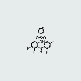 Cc1ccc(Nc2c(NS(=O)(=O)c3ccsc3)ccc(F)c2F)c(F)c1